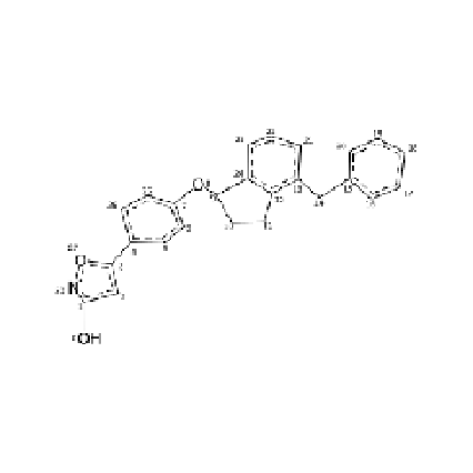 Oc1cc(-c2ccc(OC3CCc4c(Cc5ccccc5)cccc43)cc2)on1